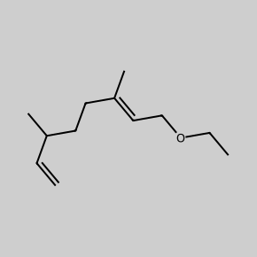 C=CC(C)CCC(C)=CCOCC